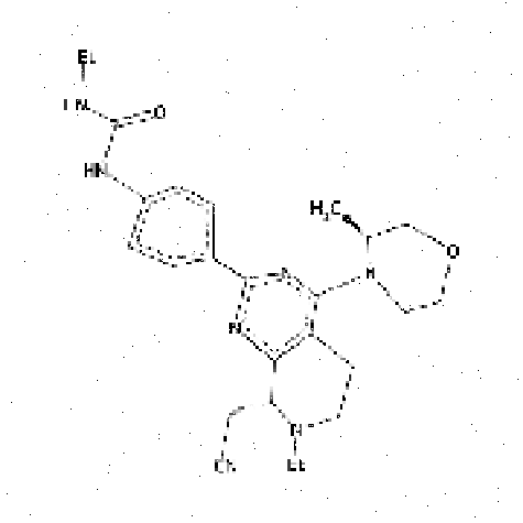 CCNC(=O)Nc1ccc(-c2nc3c(c(N4CCOC[C@@H]4C)n2)CCN(CC)[C@@H]3CC#N)cc1